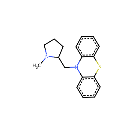 CN1CCCC1CN1c2ccccc2Sc2ccccc21